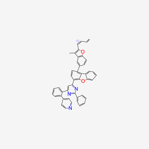 C=C/C=C\c1oc2ccc(-c3ccc(-c4cc(-c5ccccc5-c5ccncc5)nc(-c5ccccc5)n4)c4oc5ccccc5c34)cc2c1C